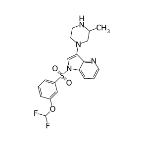 CC1CN(c2cn(S(=O)(=O)c3cccc(OC(F)F)c3)c3cccnc23)CCN1